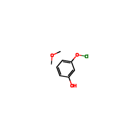 COC.Oc1cccc(OCl)c1